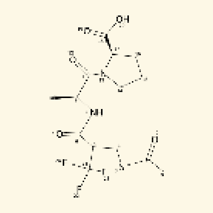 CC(=O)SCC(C(=O)N[C@@H](C)C(=O)N1CCC[C@@H]1C(=O)O)C(F)(F)F